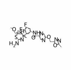 COC[C@]12C[C@H]1[C@](C)(c1cc(NC(=O)c3cnc(OCc4nnc(C)o4)cn3)cc(F)c1F)N=C(N)S2